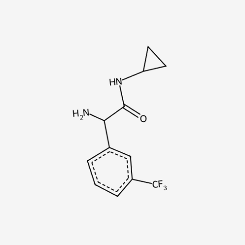 NC(C(=O)NC1CC1)c1cccc(C(F)(F)F)c1